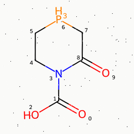 O=C(O)N1CC[PH3]CC1=O